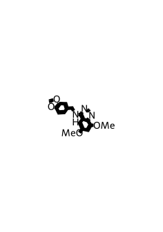 COc1cc(OC)c2ncnc(NCc3ccc4c(c3)OCO4)c2c1